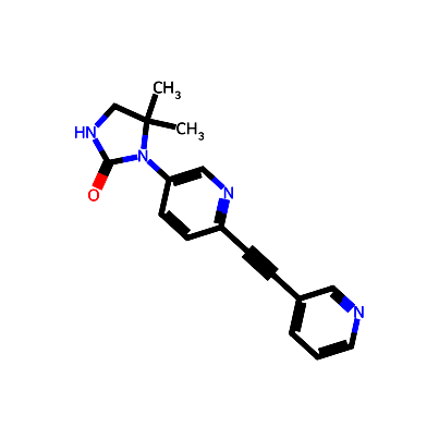 CC1(C)CNC(=O)N1c1ccc(C#Cc2cccnc2)nc1